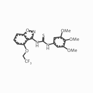 COc1cc(NC(=S)Nc2noc3cccc(OCC(F)(F)F)c23)cc(OC)c1OC